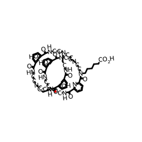 O=C(O)CCCCCN1CCN2CCNC(=O)c3cccc(c3O)C(=O)NCCN(CCNC(=O)c3cccc(n3)C1=O)CCN1CCNC(=O)c3cccc(c3O)C(=O)NCCN(CCNC(=O)c3cccc(c3O)C(=O)NCC1)CC2